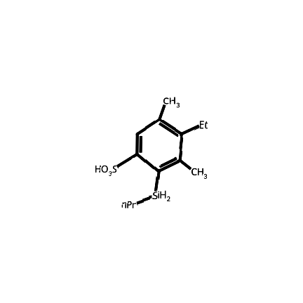 CCC[SiH2]c1c(S(=O)(=O)O)cc(C)c(CC)c1C